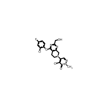 CN/N=C\C(=C(\Cl)C=O)N1CCc2c(nc(CO)nc2Oc2ccc(F)cc2Cl)C1